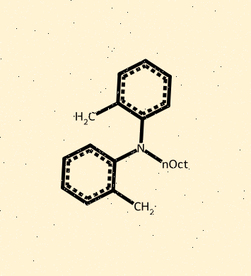 [CH2]c1ccccc1N(CCCCCCCC)c1ccccc1[CH2]